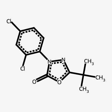 CC(C)(C)c1nn(-c2ccc(Cl)cc2Cl)c(=O)o1